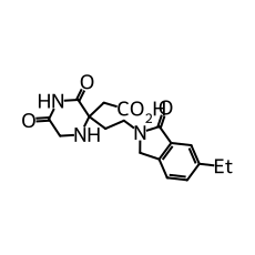 CCc1ccc2c(c1)C(=O)N(CCC1(CC(=O)O)NCC(=O)NC1=O)C2